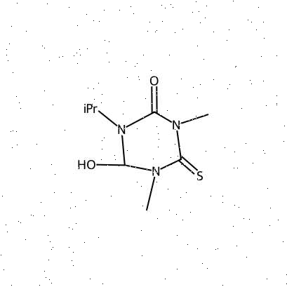 CC(C)N1C(=O)N(C)C(=S)N(C)C1O